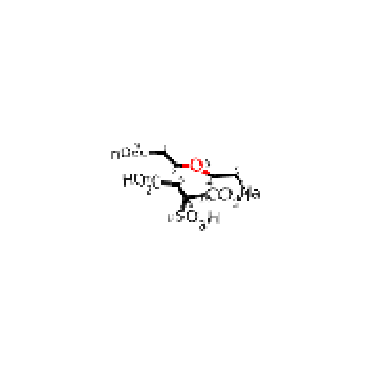 CCCCCCCCCCCCOC[CH2][Na].O=C(O)CC(C(=O)O)S(=O)(=O)O